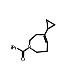 CC(C)C(=O)N1CCC=C(C2CC2)CC1